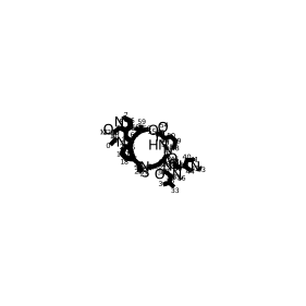 CCn1c(-c2cccnc2[C@H](C)OC)c2c3cc(ccc31)-c1csc(n1)C[C@H](NC(=O)C(C(C)C)N(C)C(=O)[C@H]1CCN(C)C1)C(=O)N1CCC[C@H](N1)C(=O)OCC(C)(C)C2